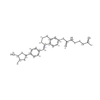 CC(=O)SCCNC(=O)C[n+]1ccc2c(c1)CCC/C2=C\c1ccc(N2CC(C)C(O)C2)cc1